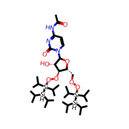 CC(=O)Nc1ccn(C2O[C@H](COO[Si](C(C)C)(C(C)C)[SiH](C(C)C)C(C)C)[C@@H](OO[Si](C(C)C)(C(C)C)[SiH](C(C)C)C(C)C)[C@@H]2O)c(=O)n1